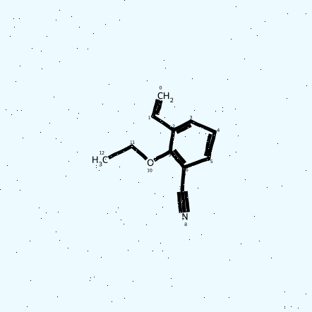 C=Cc1cccc(C#N)c1OCC